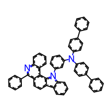 c1ccc(-c2ccc(N(c3ccc(-c4ccccc4)cc3)c3cccc(-n4c5ccccc5c5ccc6c(-c7ccccc7)nc7ccccc7c6c54)c3)cc2)cc1